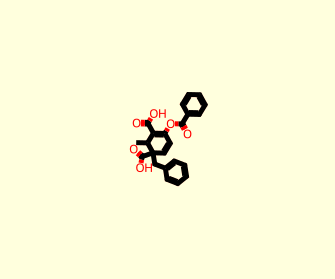 CC1C(C(=O)O)=C(OC(=O)c2ccccc2)C=CC1(Cc1ccccc1)C(=O)O